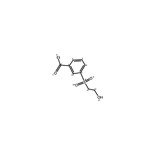 CCC(=O)c1cccc(S(=O)(=O)CCO)c1